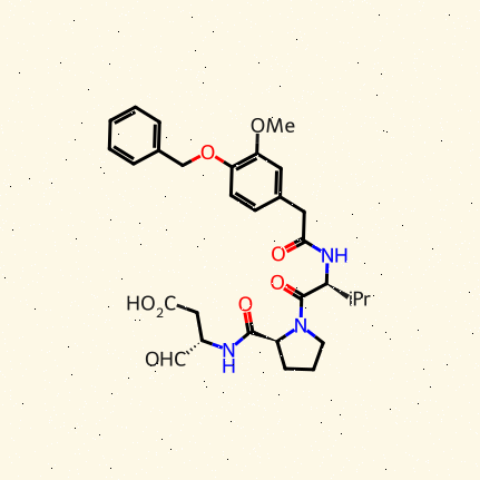 COc1cc(CC(=O)N[C@H](C(=O)N2CCC[C@H]2C(=O)N[C@H](C=O)CC(=O)O)C(C)C)ccc1OCc1ccccc1